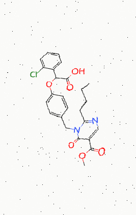 CCCCc1ncc(C(=O)OC)c(=O)n1Cc1ccc(OC(C(=O)O)c2ccccc2Cl)cc1